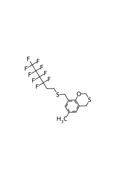 Cc1cc(CSCCC(F)(F)C(F)(F)C(F)(F)C(F)(F)F)c2c(c1)CSCO2